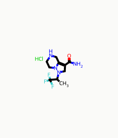 CC(N1CC(C(N)=O)=C2CNCCN21)C(F)(F)F.Cl